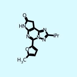 Cc1ccc(-c2nc3c(c4nc(C(C)C)nn24)CC(=O)N3)o1